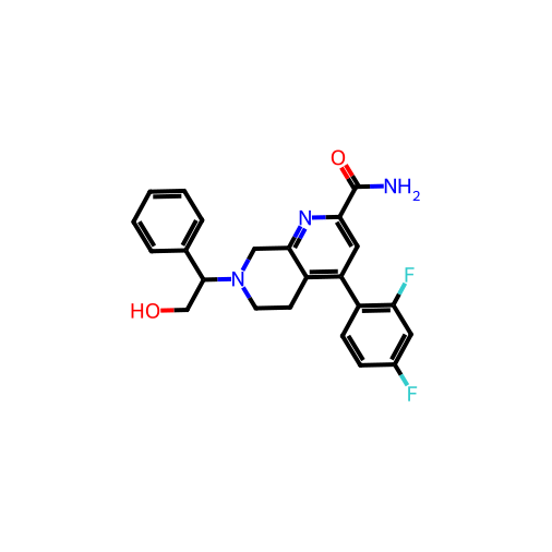 NC(=O)c1cc(-c2ccc(F)cc2F)c2c(n1)CN(C(CO)c1ccccc1)CC2